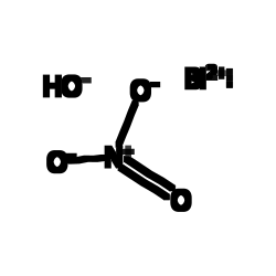 O=[N+]([O-])[O-].[Bi+2].[OH-]